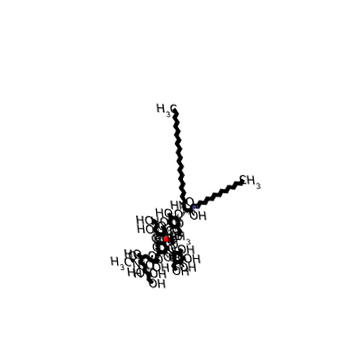 CCCCCCCCCCCCC/C=C/[C@@H](O)[C@H](CO[C@@H]1OC(CO)[C@@H](O[C@@H]2OC(CO)[C@H](O)[C@H](O[C@@H]3OC(CO[C@]4(C(=O)O)CC(O)[C@@H](NC(C)=O)C([C@H](O)[C@H](O)CO)O4)[C@@H](O)[C@H](O[C@@H]4OC(CO)[C@H](O)[C@H](O)C4O)C3NC(C)=O)C2O)[C@H](O)C1O)NC(=O)CCCCCCCCCCCCCCCCCCCCC